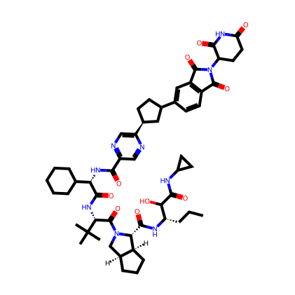 CCC[C@H](NC(=O)[C@@H]1[C@H]2CCC[C@H]2CN1C(=O)[C@@H](NC(=O)[C@@H](NC(=O)c1cnc([C@H]2CCC(c3ccc4c(c3)C(=O)N(C3CCC(=O)NC3=O)C4=O)C2)cn1)C1CCCCC1)C(C)(C)C)C(O)C(=O)NC1CC1